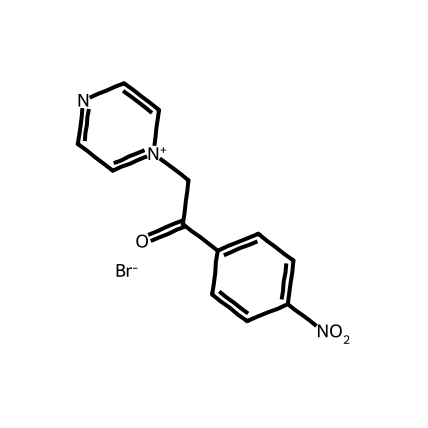 O=C(C[n+]1ccncc1)c1ccc([N+](=O)[O-])cc1.[Br-]